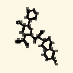 O=C(Nc1cc(-c2cccnc2)c(Cl)cc1C(=O)O)c1ccc2cc(F)ccc2c1